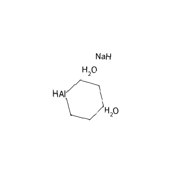 C1C[CH2][AlH][CH2]C1.O.O.[NaH]